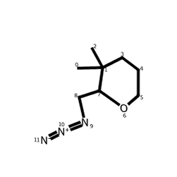 CC1(C)CCCOC1CN=[N+]=[N-]